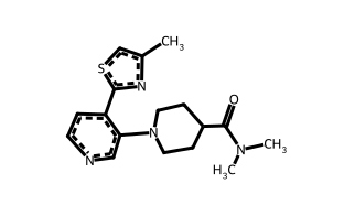 Cc1csc(-c2ccncc2N2CCC(C(=O)N(C)C)CC2)n1